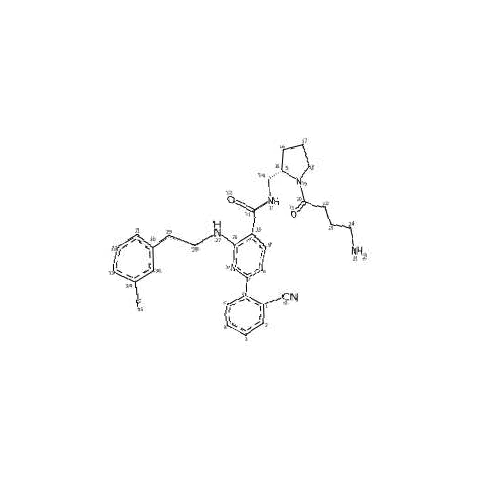 N#Cc1ccccc1-c1ccc(C(=O)NC[C@@H]2CCCN2C(=O)CCCN)c(NCCc2cccc(F)c2)n1